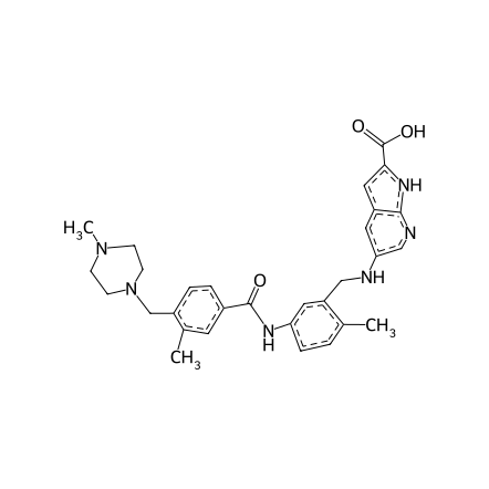 Cc1ccc(NC(=O)c2ccc(CN3CCN(C)CC3)c(C)c2)cc1CNc1cnc2[nH]c(C(=O)O)cc2c1